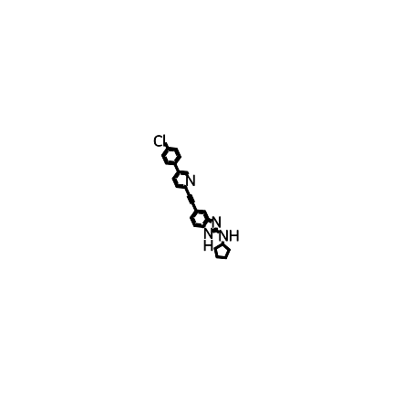 Clc1ccc(-c2ccc(C#Cc3ccc4[nH]c(NC5CCCC5)nc4c3)nc2)cc1